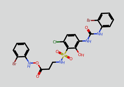 O=C(Nc1ccccc1Br)Nc1ccc(Cl)c(S(=O)(=O)NCCC(=O)ONc2ccccc2Br)c1O